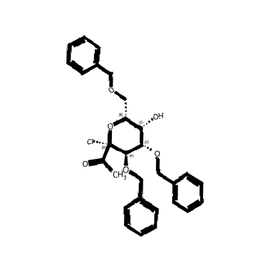 CC(=O)[C@@]1(Cl)O[C@H](COCc2ccccc2)[C@H](O)[C@H](OCc2ccccc2)[C@H]1OCc1ccccc1